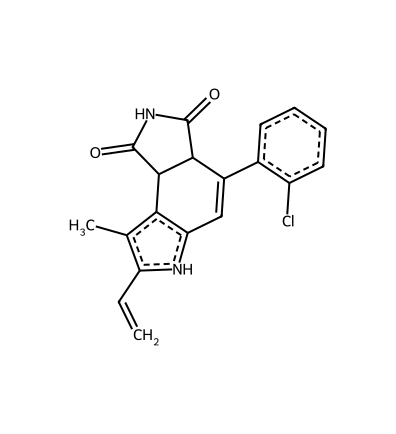 C=Cc1[nH]c2c(c1C)C1C(=O)NC(=O)C1C(c1ccccc1Cl)=C2